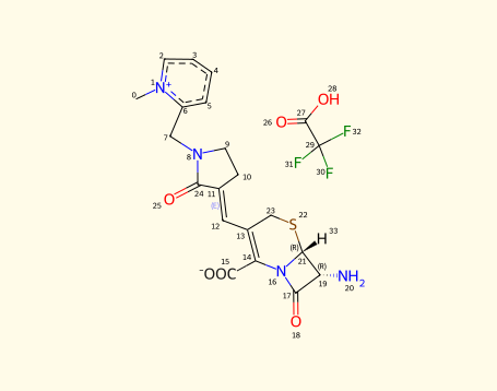 C[n+]1ccccc1CN1CC/C(=C\C2=C(C(=O)[O-])N3C(=O)[C@@H](N)[C@H]3SC2)C1=O.O=C(O)C(F)(F)F